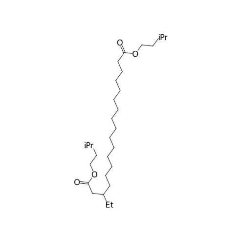 CCC(CCCCCCCCCCCCCCC(=O)OCCC(C)C)CC(=O)OCCC(C)C